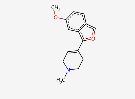 COc1ccc2coc(C3=CCN(C)CC3)c2c1